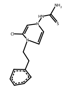 NC(=S)NN1C=CN(CCc2ccccc2)C(Cl)=C1